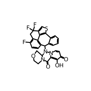 O=C1c2c(O)c(=O)ccn2N(C2c3ccccc3-c3scc4c3-c3c2ccc(F)c3CC4(F)F)C2COCCN12